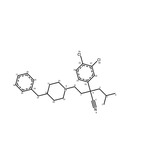 CC(C)CC(C#N)(CCN1CCC(Cc2ccccc2)CC1)c1ccc(Cl)c(Cl)c1